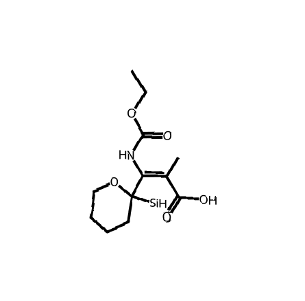 CCOC(=O)NC(=C(C)C(=O)O)C1([SiH3])CCCCO1